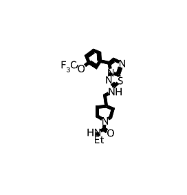 CCNC(=O)N1CCC(CNc2nn3c(-c4cccc(OC(F)(F)F)c4)cnc3s2)CC1